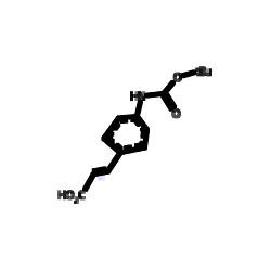 CC(C)(C)OC(=O)Nc1ccc(/C=C/C(=O)O)cc1